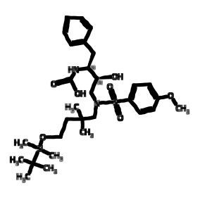 COc1ccc(S(=O)(=O)N(C[C@H](O)[C@H](Cc2ccccc2)NC(=O)O)CC(C)(C)CCO[Si](C)(C)C(C)(C)C)cc1